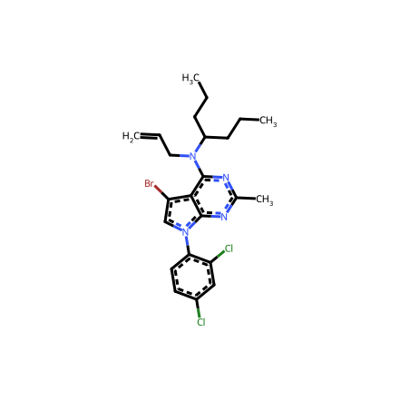 C=CCN(c1nc(C)nc2c1c(Br)cn2-c1ccc(Cl)cc1Cl)C(CCC)CCC